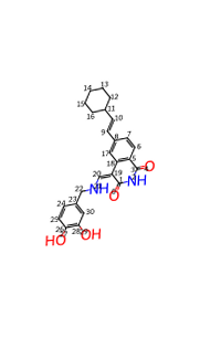 O=C1NC(=O)c2ccc(C=CC3CCCCC3)cc2C1=CNCc1ccc(O)c(O)c1